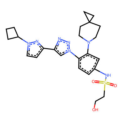 O=S(=O)(CCO)Nc1ccc(-n2cc(-c3ccn(C4CCC4)n3)nn2)c(N2CCC3(CC2)CC3)c1